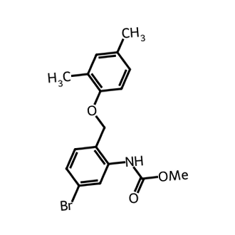 COC(=O)Nc1cc(Br)ccc1COc1ccc(C)cc1C